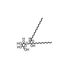 CCCCCCCCCCCCCCCCC(=O)NC(CO[C@H]1OC(CO)[C@H](O)C(O)C1O)[C@H](O)CCCCCCCCCCCCC